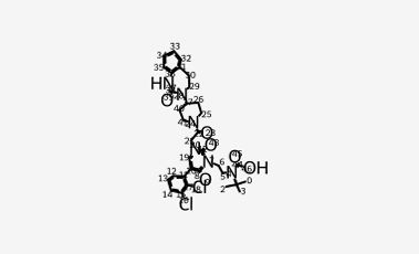 CC(C)(C)N(CCn1c(=O)c(-c2cccc(Cl)c2Cl)cn(CC(=O)N2CCC(N3CCc4ccccc4NC3=O)CC2)c1=O)C(=O)O